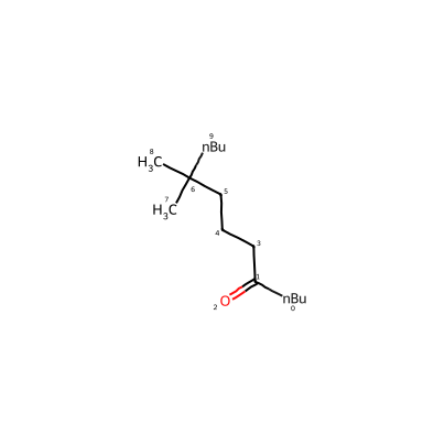 CCCCC(=O)CCCC(C)(C)CCCC